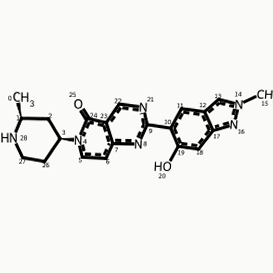 C[C@H]1C[C@@H](n2ccc3nc(-c4cc5cn(C)nc5cc4O)ncc3c2=O)CCN1